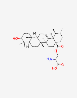 C[C@H]1[C@H](C)CC[C@]2(C(=O)OCC(N)C(=O)O)CC[C@]3(C)C(=CC[C@@H]4[C@@]5(C)CC[C@H](O)C(C)(C)[C@@H]5CC[C@]43C)[C@H]12